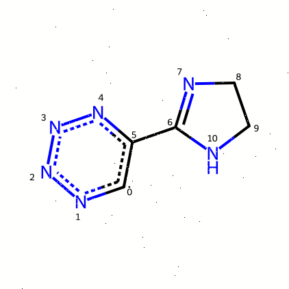 [c]1nnnnc1C1=NCCN1